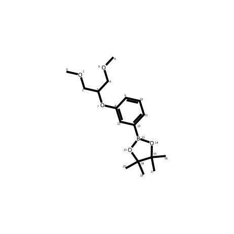 COCC(COC)Oc1cccc(B2OC(C)(C)C(C)(C)O2)c1